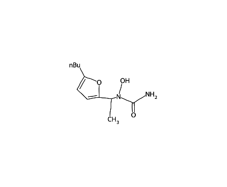 CCCCc1ccc(C(C)N(O)C(N)=O)o1